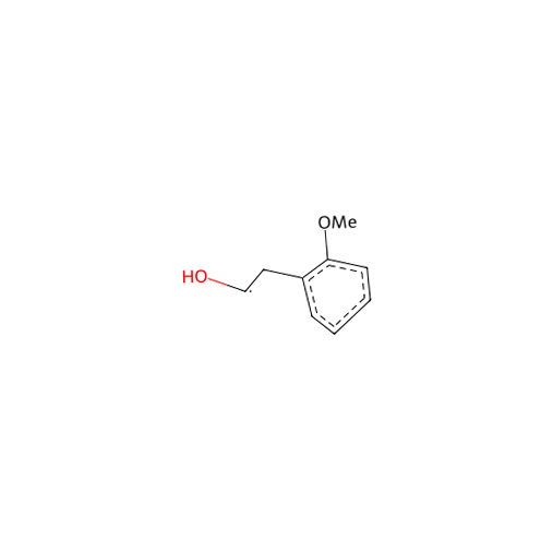 COc1ccccc1C[CH]O